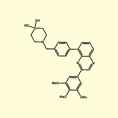 COc1cc(-c2cnc3cccc(-c4ccc(CN5CCS(O)(O)CC5)cc4)c3n2)cc(OC)c1OC